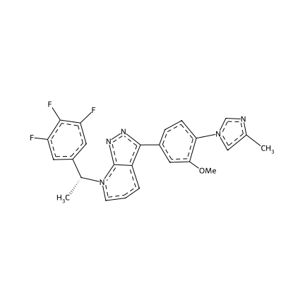 COc1cc(-c2nnc3n([C@H](C)c4cc(F)c(F)c(F)c4)cccc2-3)ccc1-n1cnc(C)c1